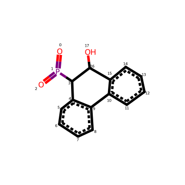 O=P(=O)C1c2ccccc2-c2ccccc2C1O